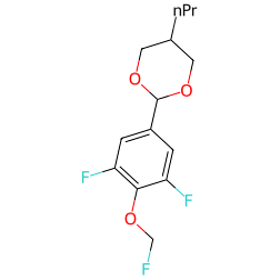 CCCC1COC(c2cc(F)c(OCF)c(F)c2)OC1